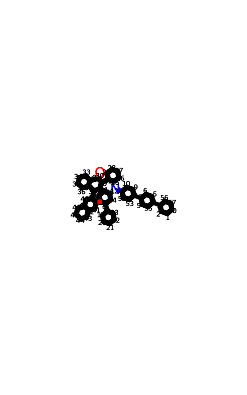 c1ccc(-c2ccc(-c3ccc(N(c4cccc(-c5ccccc5)c4)c4cccc5oc6c7ccccc7c(-c7ccc8ccccc8c7)cc6c45)cc3)cc2)cc1